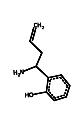 C=CCC(N)c1ccccc1O